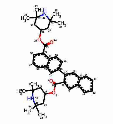 CC1(C)CC(OC(=O)c2cc3ccccc3cc2-c2ccc3c(C(=O)OC4CC(C)(C)NC(C)(C)C4)cccc3c2)CC(C)(C)N1